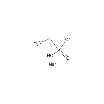 NCP(=O)([O-])O.[Na+]